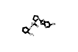 Cc1ccccc1CNC(=O)[C@H]1CCCN1c1nc2ncc(C#N)cc2s1